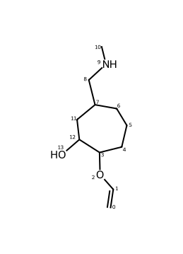 C=COC1CCCC(CNC)CC1O